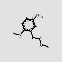 CNc1ccc(N)cc1CCOC